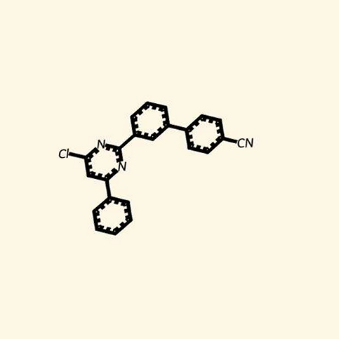 N#Cc1ccc(-c2cccc(-c3nc(Cl)cc(-c4ccccc4)n3)c2)cc1